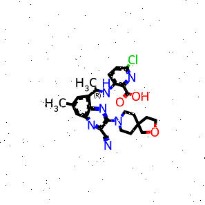 Cc1cc([C@@H](C)Nc2ccc(Cl)nc2C(=O)O)c2nc(N3CCC4(CCOC4)CC3)c(C#N)nc2c1